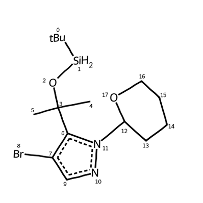 CC(C)(C)[SiH2]OC(C)(C)c1c(Br)cnn1C1CCCCO1